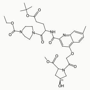 CCOC(=O)N1CCN(C(=O)C(CCC(=O)OC(C)(C)C)NC(=O)c2cc(OCC(=O)N3C[C@@H](O)CC3C(=O)OC)c3ccc(C)cc3n2)CC1